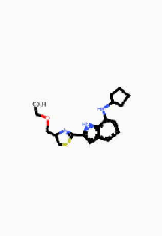 O=C(O)COCC1CSC(c2cc3cccc(NC4CCCC4)c3[nH]2)=N1